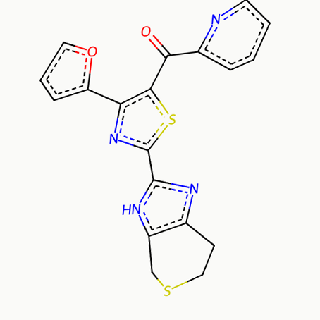 O=C(c1ccccn1)c1sc(-c2nc3c([nH]2)CSCC3)nc1-c1ccco1